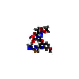 COC(=O)[C@@H]1C[C@@H](Oc2cc(-c3csc(NC(C)C)n3)nc3cc(OC)ccc23)CN1C(=O)[C@@H](NC(=O)OC(C)(C)C)C(C)C